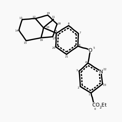 CCOC(=O)c1ccc(Oc2ccc(C3(C)C4CCCC3CCC4)cc2)nc1